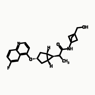 CC(C(=O)NC12CC(CO)(C1)C2)[C@H]1[C@@H]2C[C@H](Oc3ccnc4ccc(F)cc34)C[C@@H]21